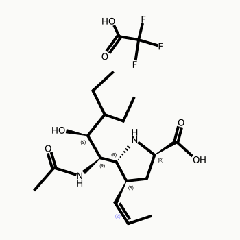 C/C=C\[C@@H]1C[C@H](C(=O)O)N[C@H]1[C@@H](NC(C)=O)[C@@H](O)C(CC)CC.O=C(O)C(F)(F)F